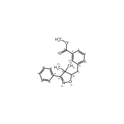 COC(=O)c1ccnc(CC2ON=C(c3ccccc3)C2(C)C)c1